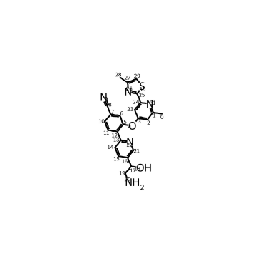 Cc1cc(Oc2cc(C#N)ccc2-c2ccc(C(O)CN)cn2)cc(-c2nc(C)cs2)n1